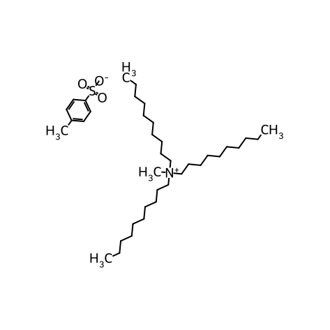 CCCCCCCCCC[N+](C)(CCCCCCCCCC)CCCCCCCCCC.Cc1ccc(S(=O)(=O)[O-])cc1